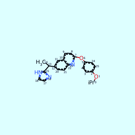 CC(C)Oc1ccc(Oc2ccc3cc(C(C)c4ncc[nH]4)ccc3n2)cc1